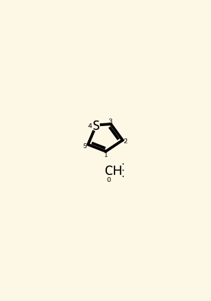 [CH].c1ccsc1